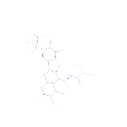 CC[C@@]1(O)C(=O)OCc2c1cc1n(c2=O)Cc2c-1nc1cc(F)c(C)c3c1c2[C@@H](NC(=O)C(C)C(F)(F)F)CC3